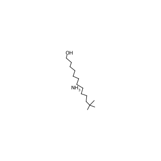 CC(C)(C)CCCCCCCCCCCO.N